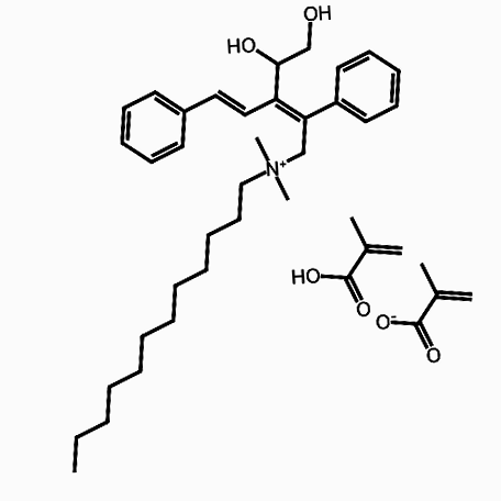 C=C(C)C(=O)O.C=C(C)C(=O)[O-].CCCCCCCCCCCC[N+](C)(C)CC(=C(C=Cc1ccccc1)C(O)CO)c1ccccc1